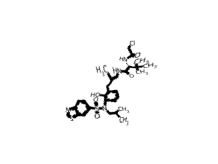 CC(C)CN(c1cccc(CC(C)CNC(=O)[C@H](NC(=O)CCl)C(C)(C)C)c1O)S(=O)(=O)c1ccc2ncsc2c1